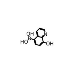 OB(O)c1ccc(O)c2ncccc12